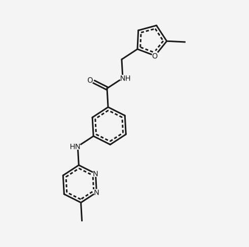 Cc1ccc(Nc2cccc(C(=O)NCc3ccc(C)o3)c2)nn1